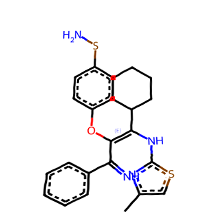 Cc1csc(N/C(=C(/Oc2ccc(SN)cc2)C(=N)c2ccccc2)C2CCCCC2)n1